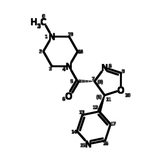 CN1CCN(C(=O)[C@@H]2N=CO[C@H]2c2ccncc2)CC1